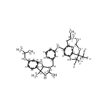 CCCc1nc(C(OCOC)(C(F)(F)F)C(F)(F)F)ccc1Oc1ccnc(CN2C(O)NC(C)(c3ccc(OC(C)C)cc3)C2O)c1